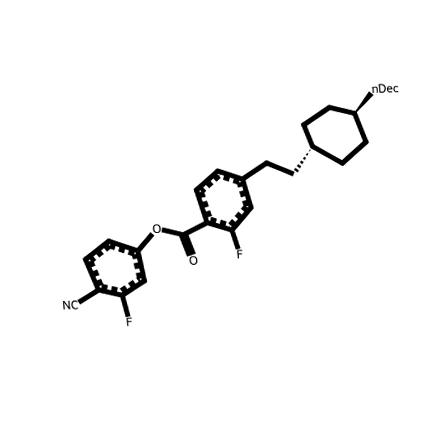 CCCCCCCCCC[C@H]1CC[C@H](CCc2ccc(C(=O)Oc3ccc(C#N)c(F)c3)c(F)c2)CC1